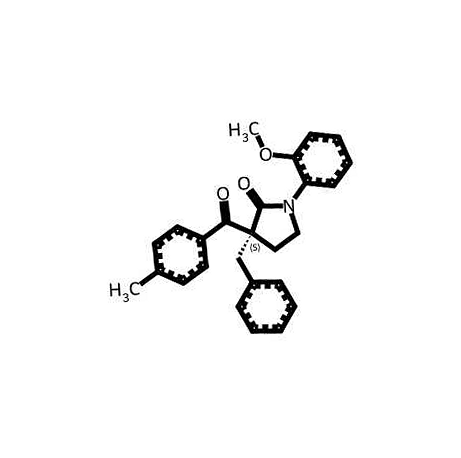 COc1ccccc1N1CC[C@@](Cc2ccccc2)(C(=O)c2ccc(C)cc2)C1=O